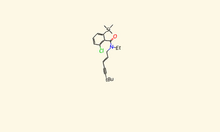 CCN(C/C=C/C#CC(C)(C)C)C(=O)c1c(Cl)cccc1[Si](C)(C)C